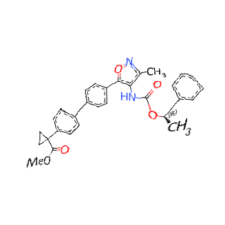 COC(=O)C1(c2ccc(-c3ccc(-c4onc(C)c4NC(=O)O[C@H](C)c4ccccc4)cc3)cc2)CC1